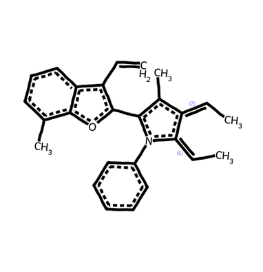 C=Cc1c(-c2c(C)c(=C/C)/c(=C\C)n2-c2ccccc2)oc2c(C)cccc12